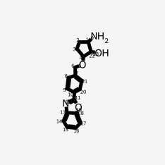 NC1CCC(OCc2ccc(-c3nc4ccccc4o3)cc2)C1O